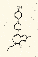 CCCN1CC=C(N2CCN(c3ccc(O)cc3)CC2)c2cn(C)cc2C1=O